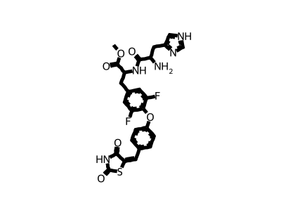 COC(=O)C(Cc1cc(F)c(Oc2ccc(C=C3SC(=O)NC3=O)cc2)c(F)c1)NC(=O)C(N)Cc1c[nH]cn1